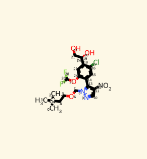 C[Si](C)(C)CCOCn1ncc([N+](=O)[O-])c1-c1cc(Cl)c([C@H](O)CO)cc1OC(F)F